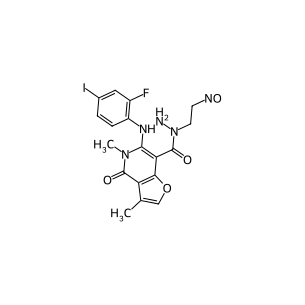 Cc1coc2c(C(=O)N(N)CCN=O)c(Nc3ccc(I)cc3F)n(C)c(=O)c12